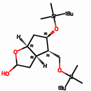 CC(C)(C)[Si](C)(C)OC[C@@H]1[C@H]2CC(O)O[C@H]2C[C@H]1O[Si](C)(C)C(C)(C)C